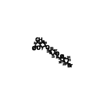 Cc1cc(=O)oc2cc(OCc3ccc(OCc4cc5cc(Br)ccc5o4)cc3)ccc12